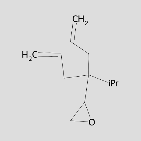 C=CCC(CC=C)(C(C)C)C1CO1